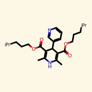 CC1=C(C(=O)OCCCC(C)C)C(c2cccnc2)C(C(=O)OCCCC(C)C)=C(C)N1